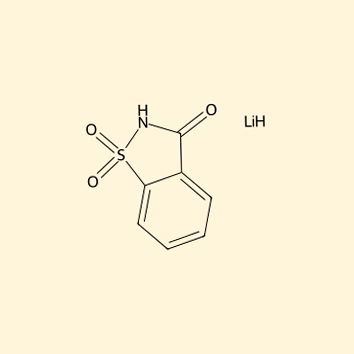 O=C1NS(=O)(=O)c2ccccc21.[LiH]